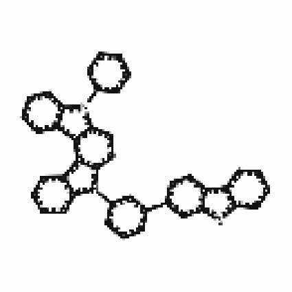 c1ccc(-n2c3ccccc3c3c4c5ccccc5n(-c5cccc(-c6ccc7c(c6)sc6ccccc67)c5)c4ccc32)cc1